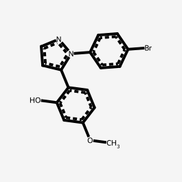 COc1ccc(-c2ccnn2-c2ccc(Br)cc2)c(O)c1